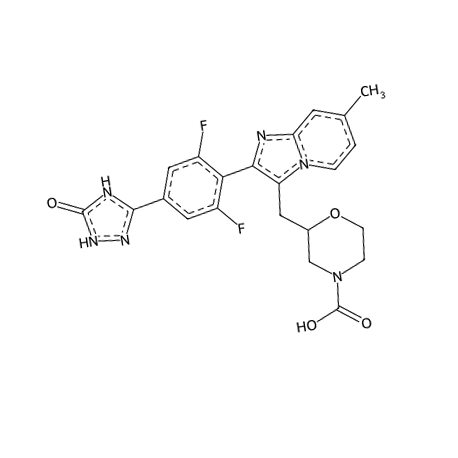 Cc1ccn2c(CC3CN(C(=O)O)CCO3)c(-c3c(F)cc(-c4n[nH]c(=O)[nH]4)cc3F)nc2c1